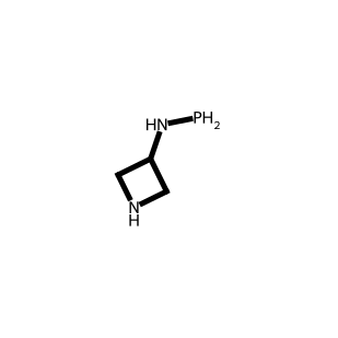 PNC1CNC1